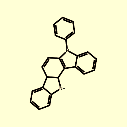 C1=CC2c3ccccc3NC2c2c1n(-c1ccccc1)c1ccccc21